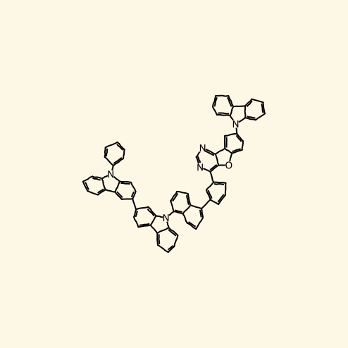 c1ccc(-n2c3ccccc3c3cc(-c4ccc5c6ccccc6n(-c6cccc7c(-c8cccc(-c9ncnc%10c9oc9ccc(-n%11c%12ccccc%12c%12ccccc%12%11)cc9%10)c8)cccc67)c5c4)ccc32)cc1